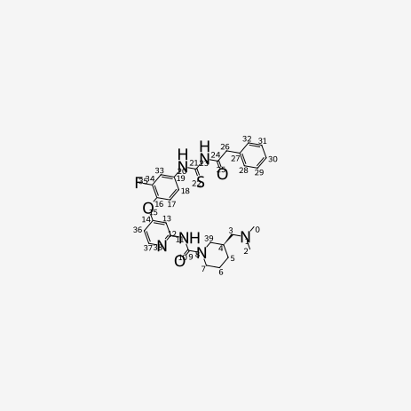 CN(C)C[C@H]1CCCN(C(=O)Nc2cc(Oc3ccc(NC(=S)NC(=O)Cc4ccccc4)cc3F)ccn2)C1